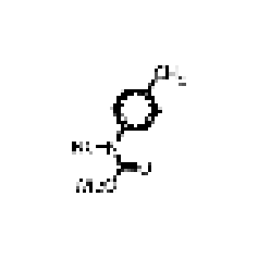 COC(=O)N(C#N)c1ccc(C)cc1